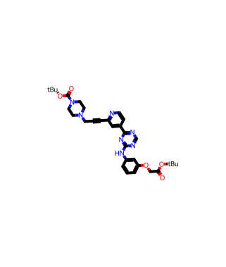 CC(C)(C)OC(=O)COc1cccc(Nc2ncnc(-c3ccnc(C#CCN4CCN(C(=O)OC(C)(C)C)CC4)c3)n2)c1